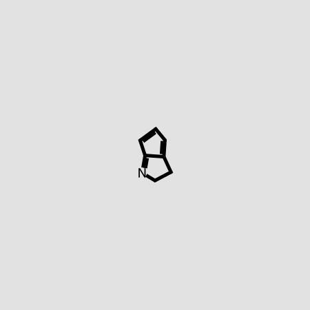 C1=CC2=NCCC2=C1